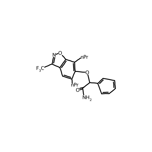 CCCc1cc2c(C(F)(F)F)noc2c(CCC)c1OC(C(N)=O)c1ccccc1